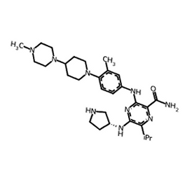 Cc1cc(Nc2nc(N[C@@H]3CCNC3)c(C(C)C)nc2C(N)=O)ccc1N1CCC(N2CCN(C)CC2)CC1